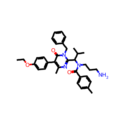 CCOc1ccc(-c2c(C)nc(C(C(C)C)N(CCCN)C(=O)c3ccc(C)cc3)n(Cc3ccccc3)c2=O)cc1